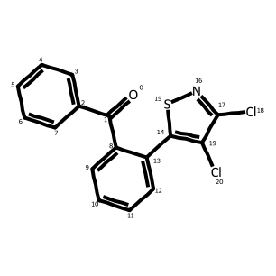 O=C(c1ccccc1)c1ccccc1-c1snc(Cl)c1Cl